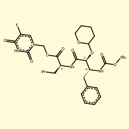 CC(C)C[C@H](NC(=O)[C@@H](OC1CCCCO1)[C@@H](Cc1ccccc1)NC(=O)OC(C)(C)C)C(=O)OCn1cc(F)c(=O)[nH]c1=O